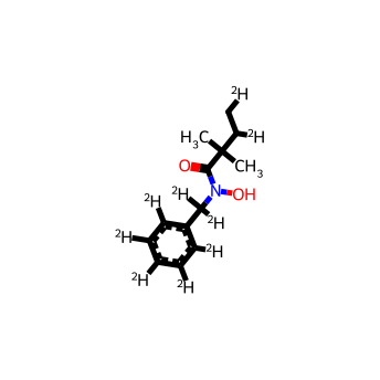 [2H]CC([2H])C(C)(C)C(=O)N(O)C([2H])([2H])c1c([2H])c([2H])c([2H])c([2H])c1[2H]